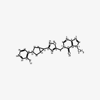 Cn1cnc2ncn(Cc3nc(C4C5CN(c6ccncc6F)CC54)no3)c(=O)c21